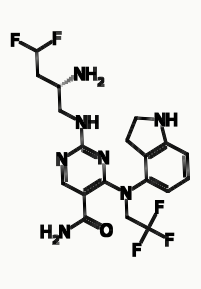 NC(=O)c1cnc(NC[C@@H](N)CC(F)F)nc1N(CC(F)(F)F)c1cccc2c1CCN2